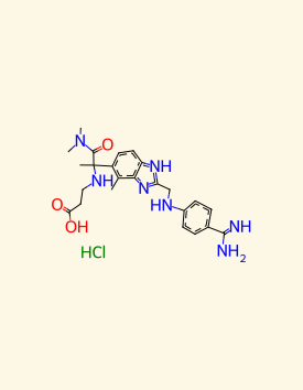 Cc1c(C(C)(NCCC(=O)O)C(=O)N(C)C)ccc2[nH]c(CNc3ccc(C(=N)N)cc3)nc12.Cl